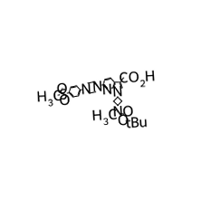 CN(C(=O)OC(C)(C)C)[C@H]1C[C@@H](n2cc(C(=O)O)c3ccc(N4CCN(c5ccc(S(C)(=O)=O)cc5)CC4)nc32)C1